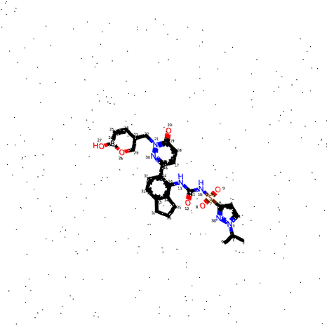 CC(C)n1ccc(S(=O)(=O)NC(=O)Nc2c(-c3ccc(=O)n(CC4C=CB(O)OC4)n3)ccc3c2CCC3)n1